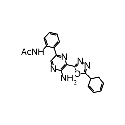 CC(=O)Nc1ccccc1-c1cnc(N)c(-c2nnc(C3C=CC=CC3)o2)n1